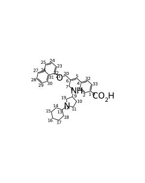 O=C(O)c1ccc(/C=C(\CNC2CCN(C3CCCCC3)C2)COc2cccc3ccccc23)cc1